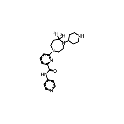 [2H]C1([2H])CCN(c2cccc(C(=O)Nc3ccncc3)n2)CCN1C1CCNCC1